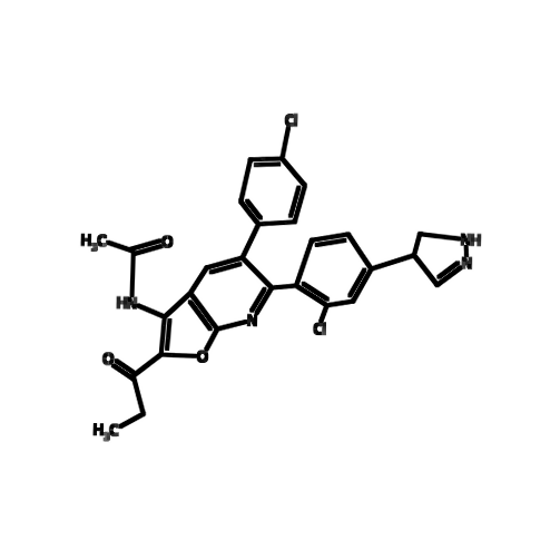 CCC(=O)c1oc2nc(-c3ccc(C4C=NNC4)cc3Cl)c(-c3ccc(Cl)cc3)cc2c1NC(C)=O